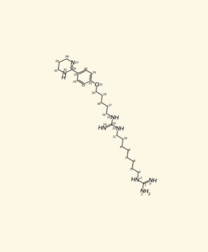 N=C(N)NCCCCCCCCNC(=N)NCCCCCOc1ccc(C2=NCCCN2)cc1